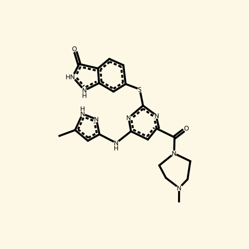 Cc1cc(Nc2cc(C(=O)N3CCN(C)CC3)nc(Sc3ccc4c(=O)[nH][nH]c4c3)n2)n[nH]1